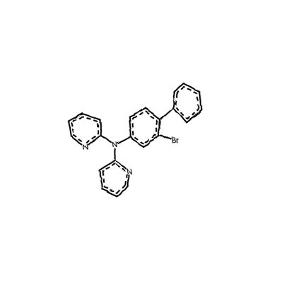 Brc1cc(N(c2ccccn2)c2ccccn2)ccc1-c1ccccc1